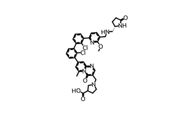 COc1nc(-c2cccc(-c3cccc(-c4cc(C)n5c(=O)c(CN6CCC(C(=O)O)C6)cnc5c4)c3Cl)c2Cl)ccc1CNC[C@@H]1CCC(=O)N1